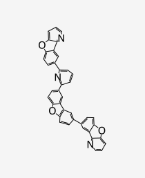 c1cc(-c2ccc3oc4ccc(-c5ccc6oc7cccnc7c6c5)cc4c3c2)nc(-c2ccc3oc4cccnc4c3c2)c1